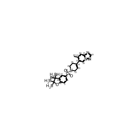 BC1(B)Oc2ccc(S(=O)(=O)N3CC=C(c4cn5ncnc5cc4C)CC3)cc2C1(B)B